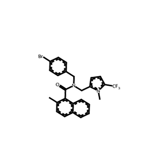 Cc1ccc2ccccc2c1C(=O)N(Cc1ccc(Br)cc1)Cc1ccc(C(F)(F)F)n1C